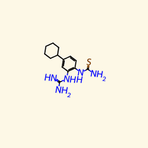 N=C(N)Nc1cc(C2CCCCC2)ccc1NC(N)=S